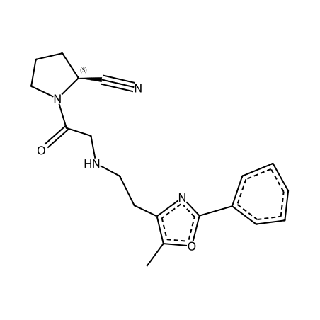 Cc1oc(-c2ccccc2)nc1CCNCC(=O)N1CCC[C@H]1C#N